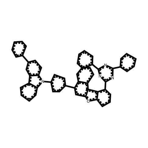 c1ccc(-c2ccc3c(c2)c2ccccc2n3-c2ccc(-c3cc4oc5cccc(-c6nc(-c7ccccc7)nc(-c7ccccc7)n6)c5c4c4ccccc34)cc2)cc1